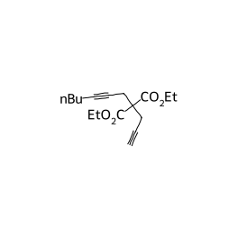 C#CCC(CC#CCCCC)(C(=O)OCC)C(=O)OCC